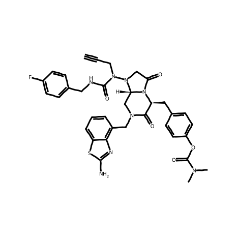 C#CCN(C(=O)NCc1ccc(F)cc1)N1CC(=O)N2[C@@H](Cc3ccc(OC(=O)N(C)C)cc3)C(=O)N(Cc3cccc4sc(N)nc34)C[C@@H]21